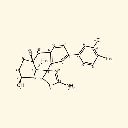 NC1=NC2(CO1)c1cc(-c3ccc(F)c(Cl)c3)ccc1O[C@H]1CC[C@H](O)C[C@@H]12